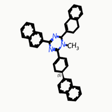 CN1C(C2=CC[C@H](c3ccc4ccccc4c3)C=C2)=NC(c2ccc3ccccc3c2)=NC1C1=Cc2ccccc2CC1